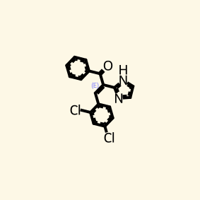 O=C(/C(=C/c1ccc(Cl)cc1Cl)c1ncc[nH]1)c1ccccc1